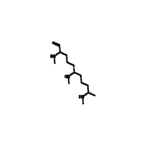 C=CC(CCCC(CCCC(C)NC)NC)NC